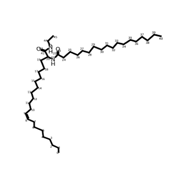 CCCCCCCC/C=C\CCCCCCCCCCC(NC(=O)CCCCCCCCCCCCCCCCC)C(=O)NCC